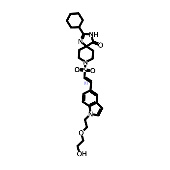 O=C1NC(C2CCCCC2)=NC12CCN(S(=O)(=O)/C=C/c1ccc3c(ccn3CCOCCO)c1)CC2